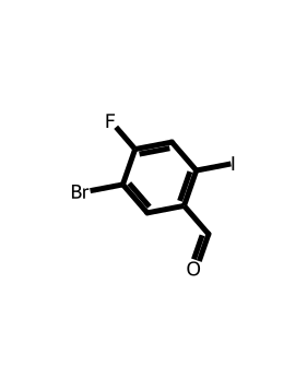 O=Cc1cc(Br)c(F)cc1I